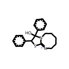 OC1(c2ccccc2)C(c2ccccc2)S/C2=N/CCCCCN21